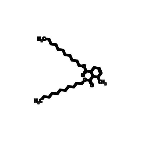 CCCCCCCCCCCOC(=O)C1CC=CC(C)C1C(=O)OCCCCCCCCCCC